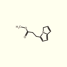 COC(=O)CCc1ccc2n1CC=C2